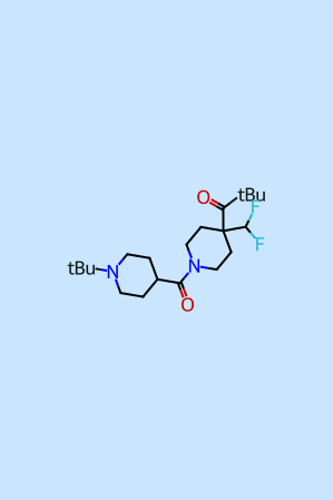 CC(C)(C)C(=O)C1(C(F)F)CCN(C(=O)C2CCN(C(C)(C)C)CC2)CC1